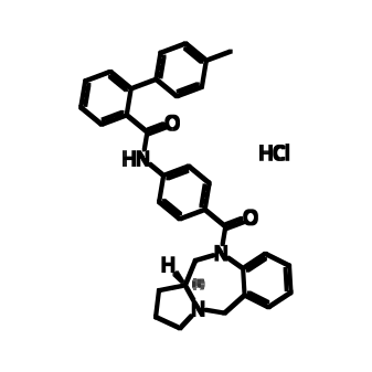 Cc1ccc(-c2ccccc2C(=O)Nc2ccc(C(=O)N3C[C@H]4CCCN4Cc4ccccc43)cc2)cc1.Cl